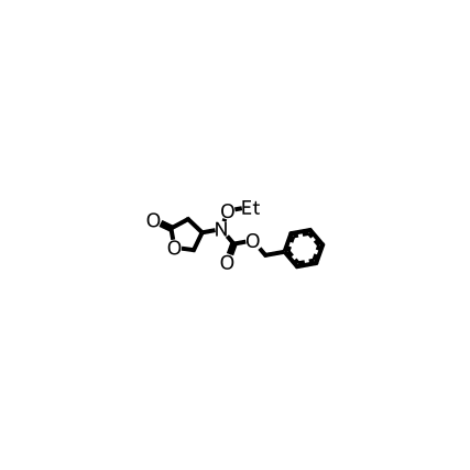 CCON(C(=O)OCc1ccccc1)C1COC(=O)C1